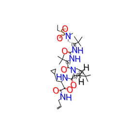 C=CCNC(=O)C(=O)C(CC1CC1)NC(=O)[C@@H]1[C@@H]2[C@H](CN1C(=O)[C@@H](NC(=O)N[C@H](CN(C)S(=O)(=O)CC)C(C)(C)C)C(C)(C)C)C2(C)C